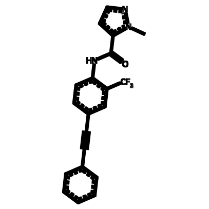 Cn1nccc1C(=O)Nc1ccc(C#Cc2ccccc2)cc1C(F)(F)F